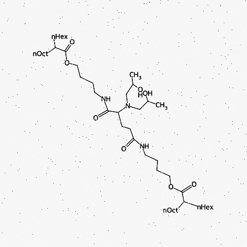 CCCCCCCCC(CCCCCC)C(=O)OCCCCNC(=O)CCC(C(=O)NCCCCOC(=O)C(CCCCCC)CCCCCCCC)N(CC(C)O)CC(C)O